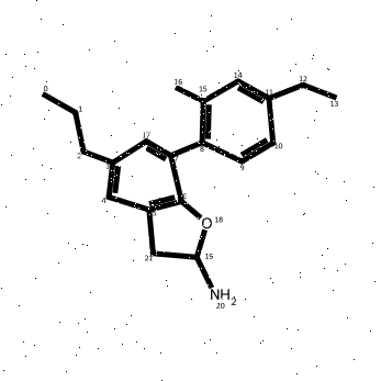 CCCc1cc2c(c(-c3ccc(CC)cc3C)c1)OC(N)C2